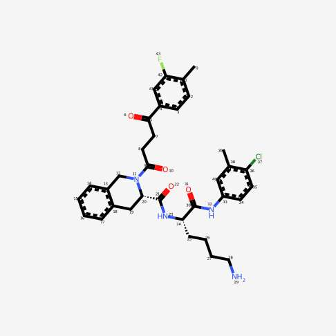 Cc1ccc(C(=O)CCC(=O)N2Cc3ccccc3C[C@H]2C(=O)N[C@@H](CCCCN)C(=O)Nc2ccc(Cl)c(C)c2)cc1F